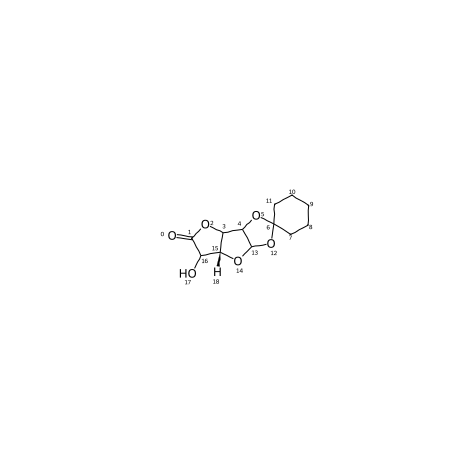 O=C1OC2C3OC4(CCCCC4)OC3O[C@@H]2C1O